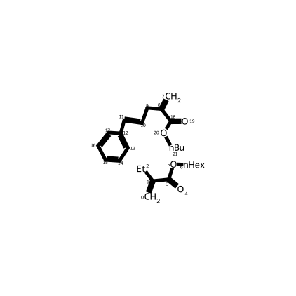 C=C(CC)C(=O)OCCCCCC.C=C(CC=Cc1ccccc1)C(=O)OCCCC